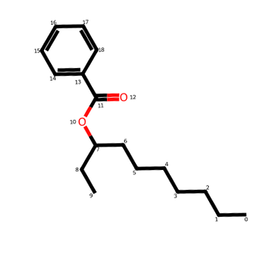 CCCCCCCC(CC)OC(=O)c1ccccc1